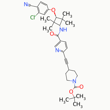 CC(C)(C)OC(=O)N1CCC(C#Cc2ccc(C(=O)N[C@H]3C(C)(C)[C@H](Oc4ccc(C#N)c(Cl)c4)C3(C)C)cn2)CC1